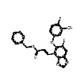 N#Cc1cc(Oc2c(F)cc3[nH]cnc3c2/C=C/C(=O)OCc2ccccc2)ccc1F